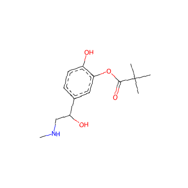 CNCC(O)c1ccc(O)c(OC(=O)C(C)(C)C)c1